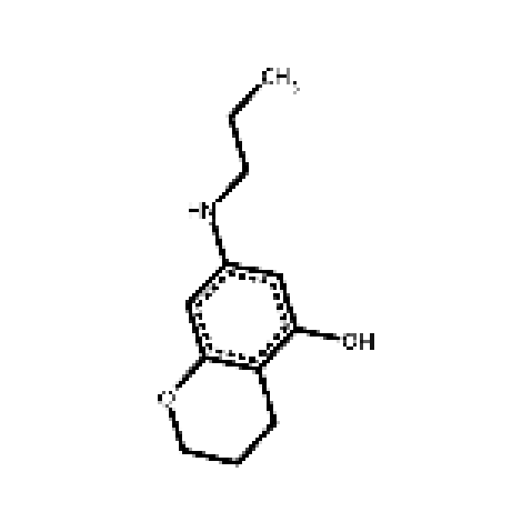 CCCNc1cc(O)c2c(c1)OCCC2